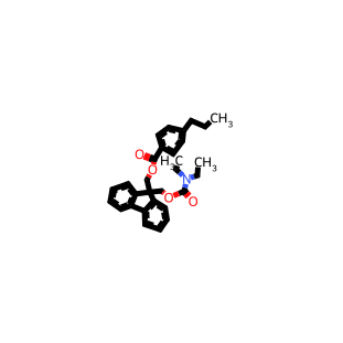 CCCc1ccc(C(=O)OCC2(COC(=O)N(CC)CC)c3ccccc3-c3ccccc32)cc1